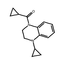 O=C([C]1CC1)N1CCN(C2CC2)c2ccccc21